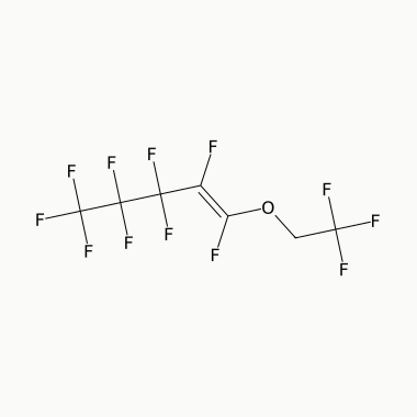 FC(OCC(F)(F)F)=C(F)C(F)(F)C(F)(F)C(F)(F)F